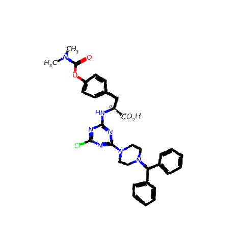 CN(C)C(=O)Oc1ccc(C[C@H](Nc2nc(Cl)nc(N3CCN(C(c4ccccc4)c4ccccc4)CC3)n2)C(=O)O)cc1